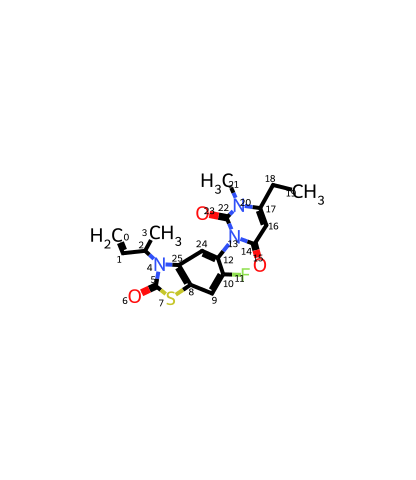 C=CC(C)n1c(=O)sc2cc(F)c(-n3c(=O)cc(CC)n(C)c3=O)cc21